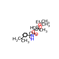 C=C(C)c1cccc(C(C)(CI)NC(=O)OC(C)CC(C)(C)OOC(C)(C)CC)c1